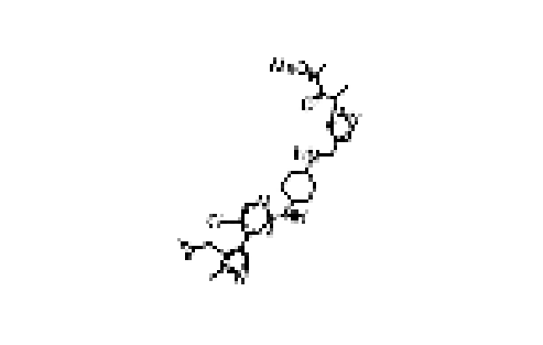 CON(C)C(=O)C(C)n1cc(CNC2CCC(Nc3ncc(Cl)c(-c4cnn(C)c4CC4CC4)n3)CC2)cn1